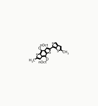 CCCCCCCCOc1c2cc(-c3scc4cc(C)sc34)sc2c(OCCCCCCCC)c2cc(C)sc12